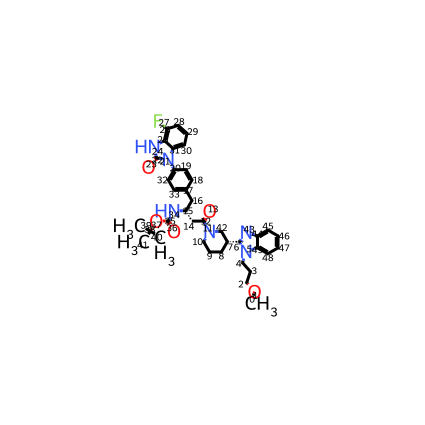 COCCCn1c([C@@H]2CCCN(C(=O)C[C@@H](Cc3ccc(-n4c(=O)[nH]c5c(F)cccc54)cc3)NC(=O)OC(C)(C)C)C2)nc2ccccc21